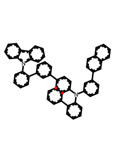 c1ccc(-c2ccccc2N(c2ccc(-c3cccc(-c4ccccc4-n4c5ccccc5c5ccccc54)c3)cc2)c2cccc(-c3ccc4ccccc4c3)c2)cc1